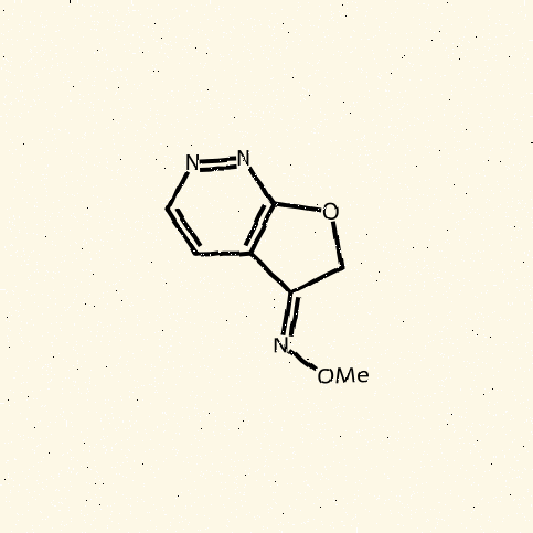 CON=C1COc2nnccc21